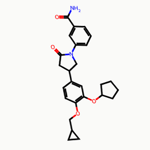 NC(=O)c1cccc(N2CC(c3ccc(OCC4CC4)c(OC4CCCC4)c3)CC2=O)c1